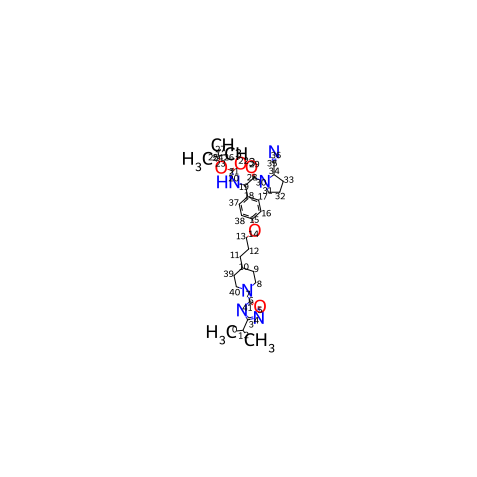 CC(C)c1noc(N2CCC(CCCOc3ccc(C(NC(=O)OC(C)(C)C)C(=O)N4CCCC4C#N)cc3)CC2)n1